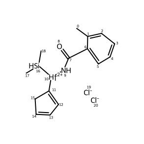 Cc1ccccc1C(=O)[NH][Hf+2]([C]1=CC=CC1)[SiH](C)C.[Cl-].[Cl-]